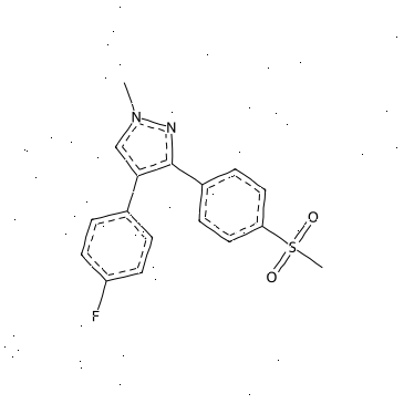 Cn1cc(-c2ccc(F)cc2)c(-c2ccc(S(C)(=O)=O)cc2)n1